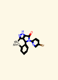 COc1ccccc1C1c2c(C(C)(C)C)n[nH]c2C(=O)N1c1ccc(Br)cn1